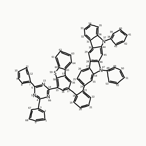 c1ccc(-c2nc(-c3ccccc3)nc(-c3cc(-c4ccccc4-c4ccc5c6cc7c8ccccc8n(-c8ccccc8)c7cc6n(-c6ccccc6)c5c4)cc4c3sc3ccccc34)n2)cc1